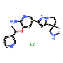 CC(Oc1cc(-c2cc3n(n2)CCC32CCNC2)cnc1N)c1cccnc1.Cl